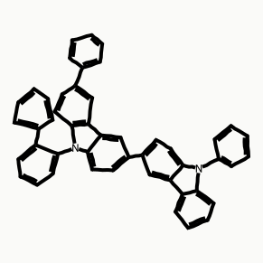 c1ccc(-c2ccc3c(c2)c2cc(-c4ccc5c(c4)c4ccccc4n5-c4ccccc4)ccc2n3-c2ccccc2-c2ccccc2)cc1